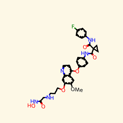 COc1cc2c(Oc3ccc(NC(=O)C4(C(=O)Nc5ccc(F)cc5)CC4)cc3)ccnc2cc1OCCCNCC(=O)NO